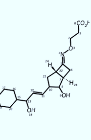 O=C(O)CCON=C1C[C@H]2C(O)C(C=CC(O)C3CCCCC3)C[C@H]12